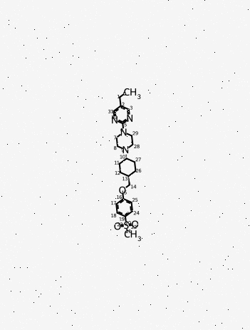 CCc1cnc(N2CCN([C@H]3CC[C@H](COc4ccc(S(C)(=O)=O)cc4)CC3)CC2)nc1